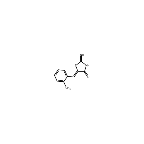 Cc1ccccc1C=C1SC(=N)NC1=O